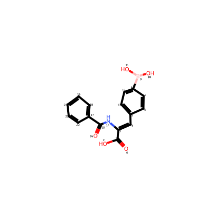 O=C(O)C(=Cc1ccc(B(O)O)cc1)NC(=O)c1ccccc1